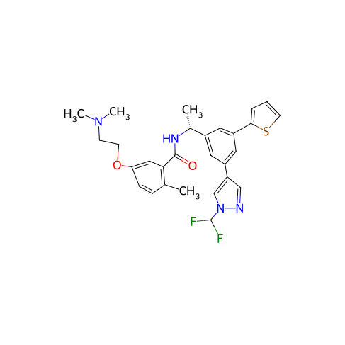 Cc1ccc(OCCN(C)C)cc1C(=O)N[C@H](C)c1cc(-c2cnn(C(F)F)c2)cc(-c2cccs2)c1